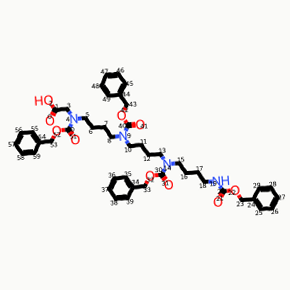 O=C(O)CN(CCCCN(CCCCN(CCCCNC(=O)OCc1ccccc1)C(=O)OCc1ccccc1)C(=O)OCc1ccccc1)C(=O)OCc1ccccc1